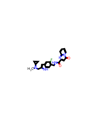 CN(Cc1cc2cc(F)c(CNC(=O)c3cc(=O)n4ccccc4n3)cc2[nH]1)C1CC1